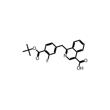 CC(C)(C)OC(=O)c1ccc(Cc2ncc(C(=O)O)c3ccccc23)cc1F